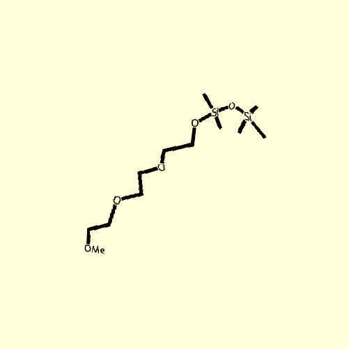 COCCOCCOCCO[Si](C)(C)O[Si](C)(C)C